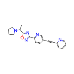 CC(c1nc(-c2ccc(C#Cc3ccccn3)cn2)no1)N1CCCC1